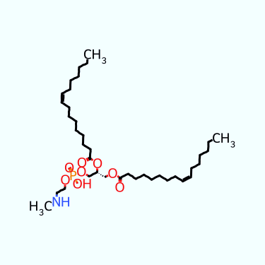 CCCCCC/C=C\CCCCCCCC(=O)OC[C@H](COP(=O)(O)OCCNC)OC(=O)CCCCCCC/C=C\CCCCCC